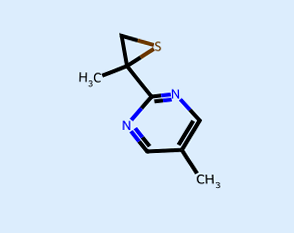 Cc1cnc(C2(C)CS2)nc1